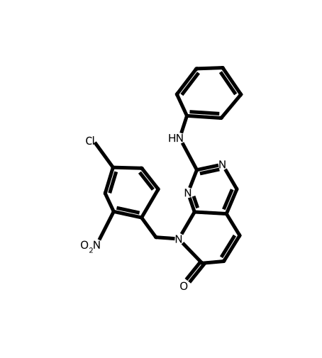 O=c1ccc2cnc(Nc3ccccc3)nc2n1Cc1ccc(Cl)cc1[N+](=O)[O-]